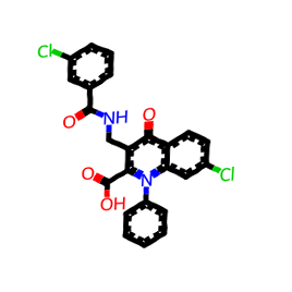 O=C(NCc1c(C(=O)O)n(-c2ccccc2)c2cc(Cl)ccc2c1=O)c1cccc(Cl)c1